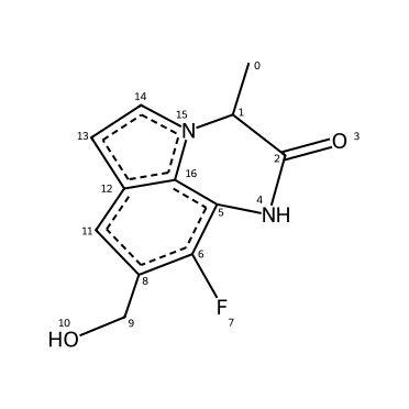 CC1C(=O)Nc2c(F)c(CO)cc3ccn1c23